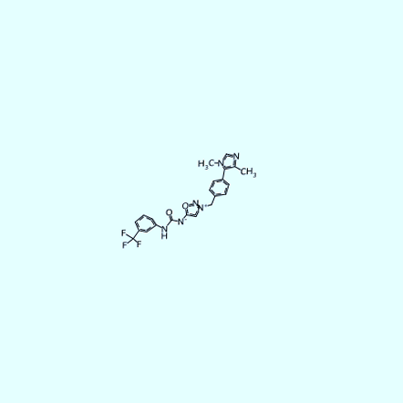 Cc1ncn(C)c1-c1ccc(C[n+]2cc([N-]C(=O)Nc3cccc(C(F)(F)F)c3)on2)cc1